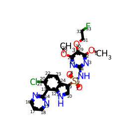 COc1nc(NS(=O)(=O)c2c[nH]c3c(-c4ncccn4)c(Cl)ccc23)nc(OC)c1OCCF